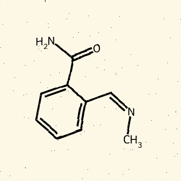 C/N=C\c1ccccc1C(N)=O